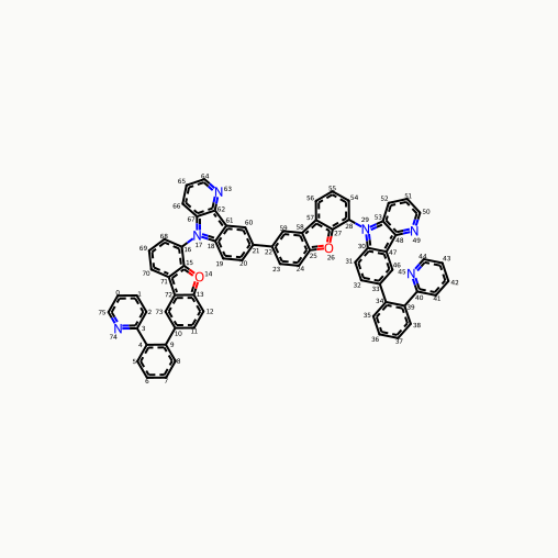 c1ccc(-c2ccccc2-c2ccc3oc4c(-n5c6ccc(-c7ccc8oc9c(-n%10c%11ccc(-c%12ccccc%12-c%12ccccn%12)cc%11c%11ncccc%11%10)cccc9c8c7)cc6c6ncccc65)cccc4c3c2)nc1